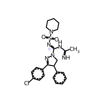 CC(=N)N/C(=N\S(=O)(=O)N1CCCCC1)N1CC(c2ccccc2)C(c2ccc(Cl)cc2)=N1